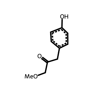 COCC(=O)Cc1ccc(O)cc1